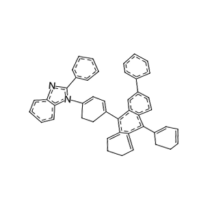 C1=CCCC(c2c3c(c(C4=CC=C(n5c(-c6ccccc6)nc6ccccc65)CC4)c4cc(-c5ccccc5)ccc24)=CCCC=3)=C1